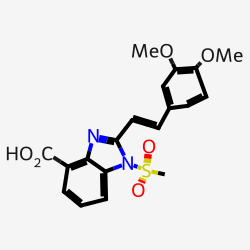 COc1ccc(C=Cc2nc3c(C(=O)O)cccc3n2S(C)(=O)=O)cc1OC